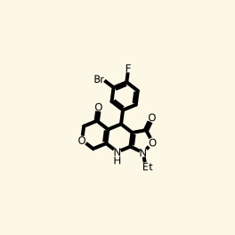 CCn1oc(=O)c2c1NC1=C(C(=O)COC1)C2c1ccc(F)c(Br)c1